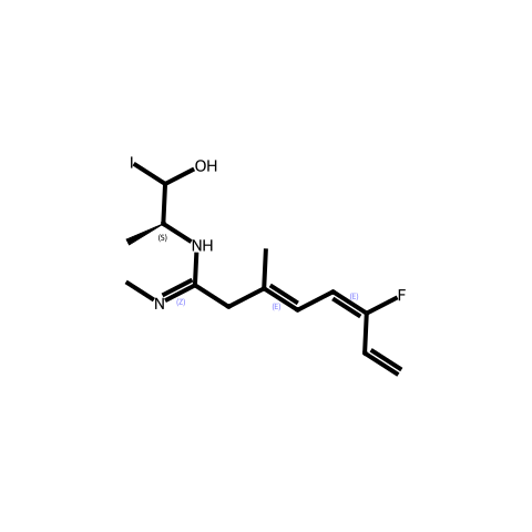 C=C/C(F)=C\C=C(/C)C/C(=N/C)N[C@@H](C)C(O)I